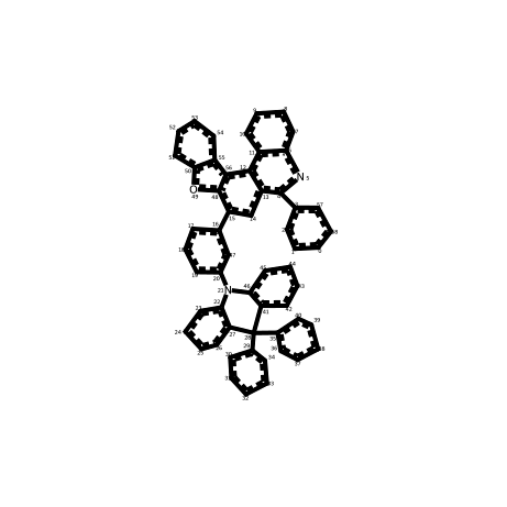 c1ccc(-c2nc3ccccc3c3c2cc(-c2cccc(N4c5ccccc5C(c5ccccc5)(c5ccccc5)c5ccccc54)c2)c2oc4ccccc4c23)cc1